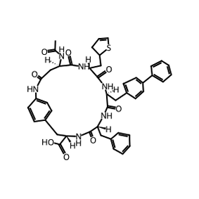 CC(=O)N[C@@H]1CC(=O)Nc2ccc(cc2)C[C@@H](C(=O)O)NC(=O)[C@@H](Cc2ccccc2)NC(=O)[C@H](Cc2ccc(-c3ccccc3)cc2)NC(=O)[C@@H](CC2CC=CS2)NC1=O